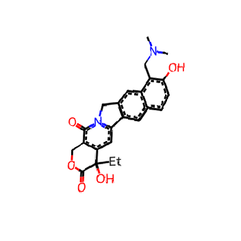 CCC1(O)C(=O)OCc2c1cc1n(c2=O)Cc2cc3c(CN(C)C)c(O)ccc3cc2-1